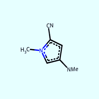 CNc1cc(C#N)n(C)c1